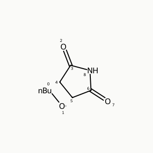 CCCC[O].O=C1CCC(=O)N1